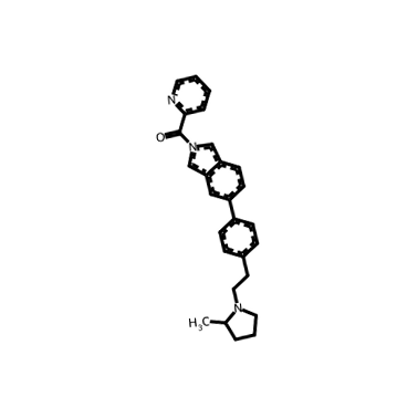 CC1CCCN1CCc1ccc(-c2ccc3cn(C(=O)c4ccccn4)cc3c2)cc1